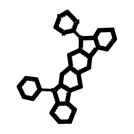 c1ccc(-n2c3ccccc3c3cc4cc5c6ccccc6n(-c6ncncn6)c5cc4cc32)cc1